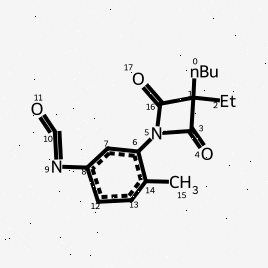 CCCCC1(CC)C(=O)N(c2cc(N=C=O)ccc2C)C1=O